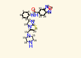 O=C(Nc1ccccc1C1CN2C(CN3CCNCC3)=CSC2=N1)c1ccc2nonc2c1